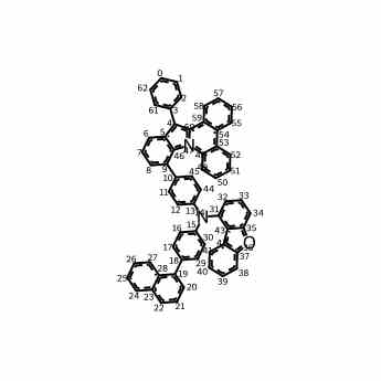 c1ccc(-c2c3cccc(-c4ccc(N(c5ccc(-c6cccc7ccccc67)cc5)c5cccc6oc7ccccc7c56)cc4)c3n3c4ccccc4c4ccccc4c23)cc1